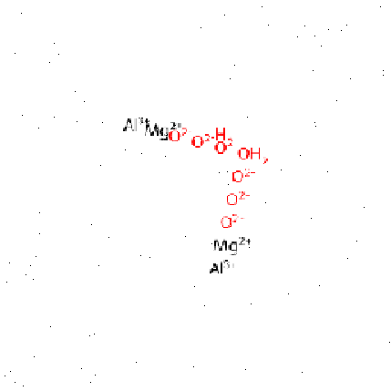 O.O.[Al+3].[Al+3].[Mg+2].[Mg+2].[O-2].[O-2].[O-2].[O-2].[O-2]